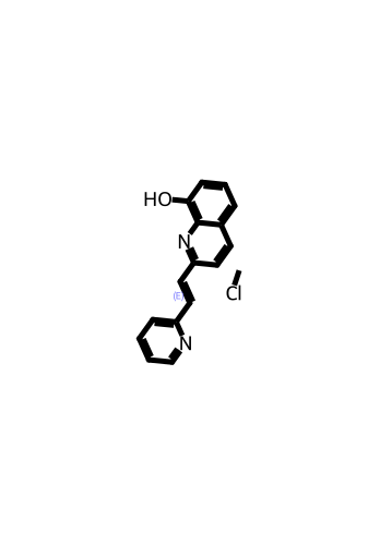 CCl.Oc1cccc2ccc(/C=C/c3ccccn3)nc12